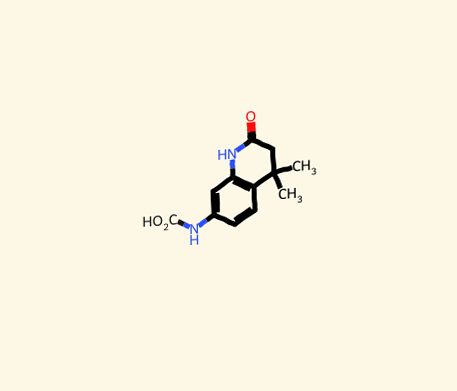 CC1(C)CC(=O)Nc2cc(NC(=O)O)ccc21